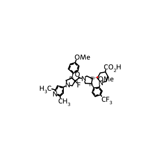 COC[C@H]1CN(C(=O)[C@]2(F)CN(c3cc(C)nc(C)c3)C[C@H]2c2ccc(OC)cc2)C[C@@H]1c1ccc(C(F)(F)F)cc1N1CCC(C(=O)O)CC1